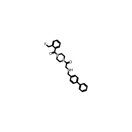 O=C(CNCc1ccc(-c2ccccc2)cc1)N1CCN(C(=O)c2ccccc2CF)CC1